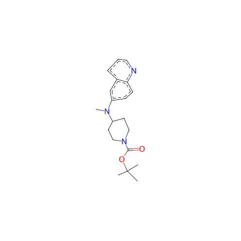 CN(c1ccc2ncccc2c1)C1CCN(C(=O)OC(C)(C)C)CC1